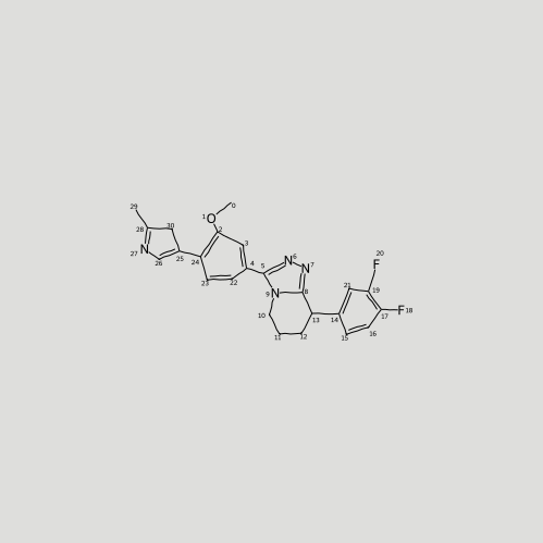 COc1cc(-c2nnc3n2CCCC3c2ccc(F)c(F)c2)ccc1C1=CN=C(C)C1